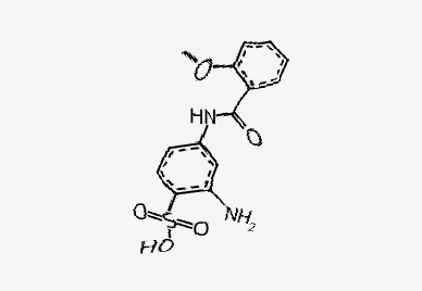 COc1ccccc1C(=O)Nc1ccc(S(=O)(=O)O)c(N)c1